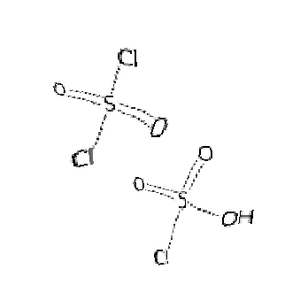 O=S(=O)(Cl)Cl.O=S(=O)(O)Cl